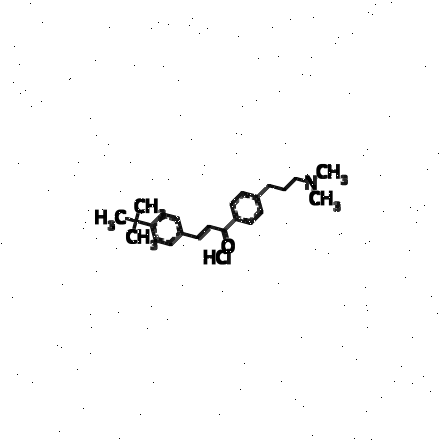 CN(C)CCCc1ccc(C(=O)C=Cc2ccc(C(C)(C)C)cc2)cc1.Cl